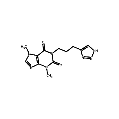 Cn1cnc2c1c(=O)n(CCCc1c[nH]nn1)c(=O)n2C